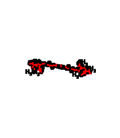 COc1ccc(C2(c3ccc(OCCOC(=O)CCC(=O)OCCCCCCCCCCOC(=O)CCC(=O)OCCOc4ccc(C5(c6ccc(OC)cc6)C=Cc6c7c(c8ccc(OC)cc8c6O5)-c5ccccc5C7(C)C)cc4)cc3)C=Cc3c4c(c5ccc(OC)cc5c3O2)-c2ccccc2C4(C)C)cc1